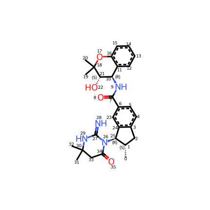 C[C@H]1Cc2ccc(C(=O)N[C@@H]3c4ccccc4OC(C)(C)[C@H]3O)cc2[C@@H]1N1C(=N)NC(C)(C)CC1=O